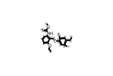 CCOc1cccc(NC(=S)OC)c1COc1cc(C)c(CC)cc1F